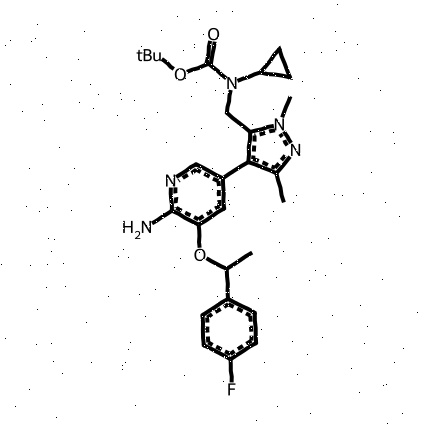 Cc1nn(C)c(CN(C(=O)OC(C)(C)C)C2CC2)c1-c1cnc(N)c(OC(C)c2ccc(F)cc2)c1